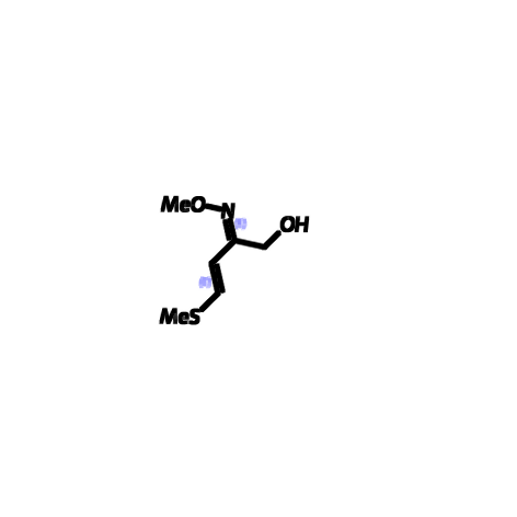 CO/N=C(\C=C\SC)CO